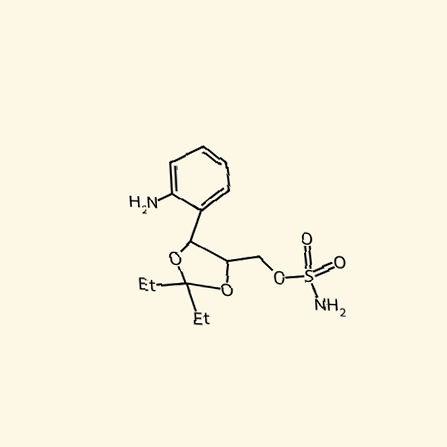 CCC1(CC)OC(COS(N)(=O)=O)C(c2ccccc2N)O1